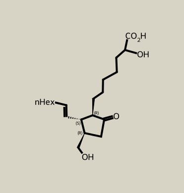 CCCCCCC=C[C@H]1[C@H](CO)CC(=O)[C@@H]1CCCCCC(O)C(=O)O